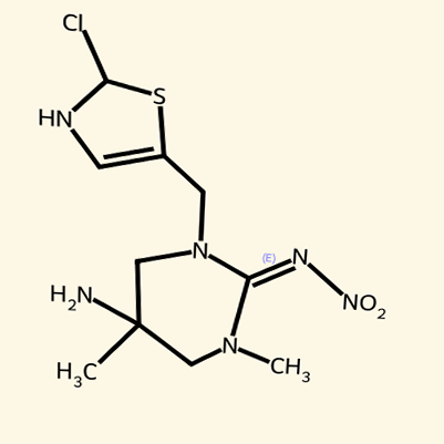 CN1CC(C)(N)CN(CC2=CNC(Cl)S2)/C1=N/[N+](=O)[O-]